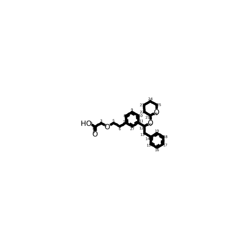 O=C(O)COCCc1cccc(C(Cc2ccccc2)OC2CCCCO2)c1